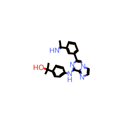 CC(=N)c1cccc(-c2cn3ccnc3c(Nc3ccc(C(C)(C)O)cc3)n2)c1